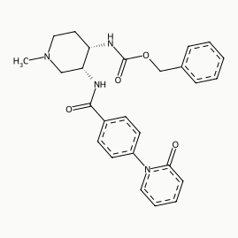 CN1CC[C@H](NC(=O)OCc2ccccc2)[C@H](NC(=O)c2ccc(-n3ccccc3=O)cc2)C1